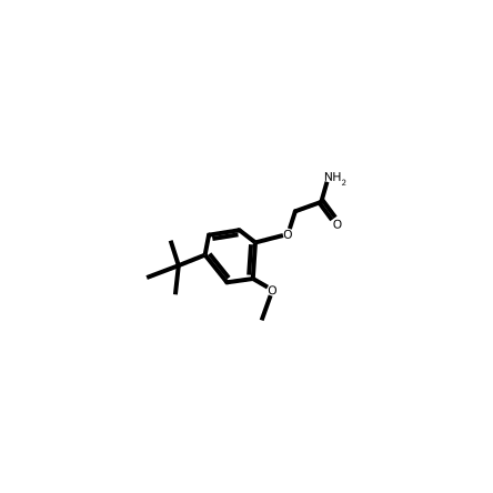 COc1cc(C(C)(C)C)ccc1OCC(N)=O